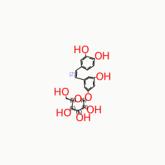 OC[C@H]1O[C@@H](Oc2cc(O)cc(/C=C\c3ccc(O)c(O)c3)c2)[C@H](O)[C@@H](O)[C@@H]1O